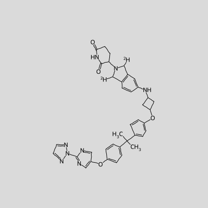 [2H]C1c2ccc(NC3CC(Oc4ccc(C(C)(C)c5ccc(Oc6cnc(-n7nccn7)nc6)cc5)cc4)C3)cc2C([2H])N1C1CCC(=O)NC1=O